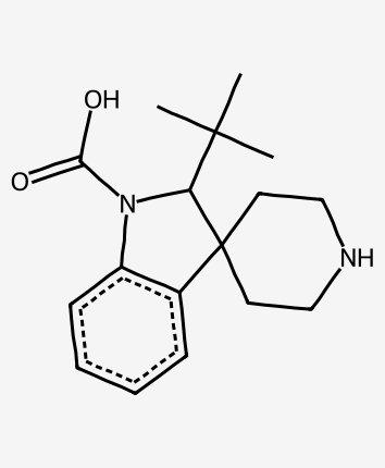 CC(C)(C)C1N(C(=O)O)c2ccccc2C12CCNCC2